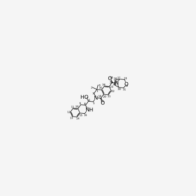 CC1(C)CN(CC(O)C2Cc3ccccc3CN2)C(=O)c2ccc(C(=O)N3C4CCC3COC4)cc21